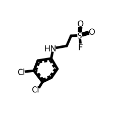 O=S(=O)(F)CCNc1ccc(Cl)c(Cl)c1